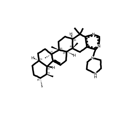 C[C@@H]1[C@H]2C3=CC[C@@H]4[C@@]5(C)Cc6c(N7CCNCC7)ncnc6C(C)(C)[C@@H]5CC[C@@]4(C)[C@]3(C)CC[C@@H]2CC[C@H]1C